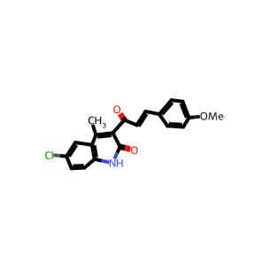 COc1ccc(C=CC(=O)c2c(C)c3cc(Cl)ccc3[nH]c2=O)cc1